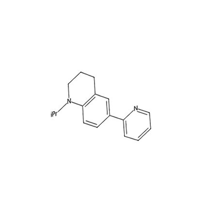 CC(C)N1CCCc2cc(-c3ccccn3)ccc21